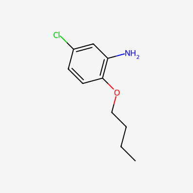 CCCCOc1ccc(Cl)cc1N